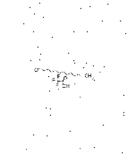 CCCCCCCCCCCCC=O.O=C(O)C(F)(F)F